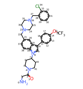 NCC(=O)N1CCC(n2cc(-c3ccc(OC(F)(F)F)cc3)c3cc(CN4CCN(Cc5ccccc5Cl)CC4)ccc32)CC1